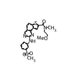 COCCN(C)C(=O)c1cc2c(ccc3cnc(Nc4cccc(S(C)(=O)=O)c4)nc32)s1